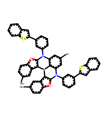 CC(C)c1cc2c3c(c1)N(c1cccc(-c4cc5ccccc5s4)c1)c1oc4ccc(C(C)(C)C)cc4c1B3c1c(oc3ccc(C(C)(C)C)cc13)N2c1cccc(-c2cc3ccccc3s2)c1